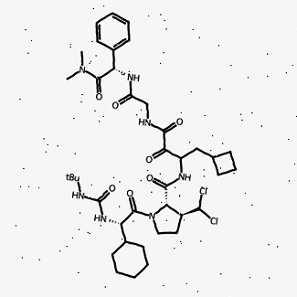 CN(C)C(=O)[C@@H](NC(=O)CNC(=O)C(=O)C(CC1CCC1)NC(=O)[C@@H]1[C@@H](C(Cl)Cl)CCN1C(=O)[C@@H](NC(=O)NC(C)(C)C)C1CCCCC1)c1ccccc1